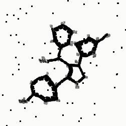 CCCCc1ccc(C2=C(C(O)c3cccnc3)C(c3ccc(C)s3)CS2)cc1